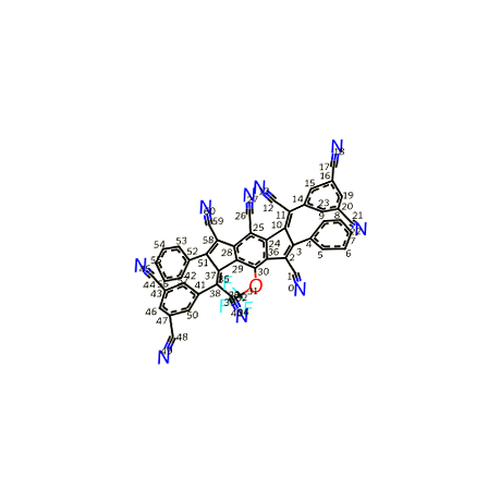 N#CC1=C(c2ccccc2)/C(=C(/C#N)c2cc(C#N)cc(C#N)c2)c2c(C#N)c3c(c(OC(F)(F)F)c21)/C(=C(\C#N)c1cc(C#N)cc(C#N)c1)C(c1ccccc1)=C3C#N